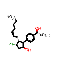 CCCCC[C@@H](O)c1ccc(C2C(O)C[C@@H](Cl)[C@@H]2C/C=C\CCCC(=O)O)cc1